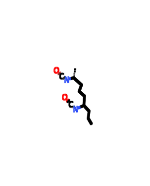 CCCC(CCC[C@@H](C)N=C=O)N=C=O